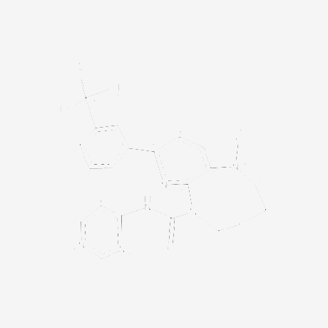 C=C(Nc1ccncn1)N1CCCCN(C)c2ccc(-c3cccc(C(C)(C)F)c3)nc21